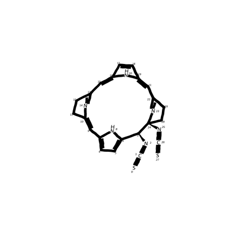 S=C=N[C@H]1c2ccc([nH]2)C=C2CCC(=N2)C=c2ccc([nH]2)=CC2=N[C@]1(N=C=S)CC2